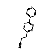 C#CCCc1nnc(-c2ccncc2)nn1